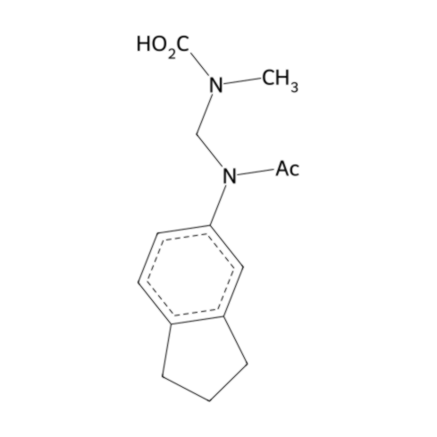 CC(=O)N(CN(C)C(=O)O)c1ccc2c(c1)CCC2